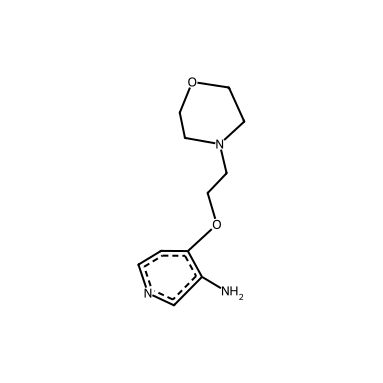 Nc1cnccc1OCCN1CCOCC1